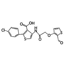 O=Cc1sccc1OCC(=O)Nc1csc(-c2ccc(Cl)cc2)c1C(=O)O